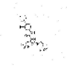 O=C(Nc1ccc(N2CCCCC2)c(F)c1)c1nc(N2CC3CCO[C@H]3C2)oc1CC(F)(F)F